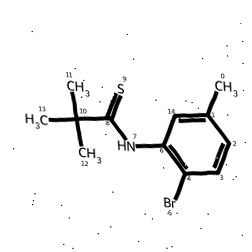 Cc1ccc(Br)c(NC(=S)C(C)(C)C)c1